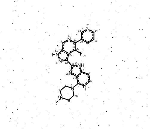 CN1CCN(c2nccc3[nH]c(-c4n[nH]c5cnc(-c6cccnc6)c(F)c45)nc23)CC1